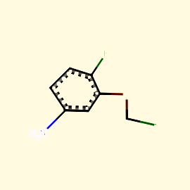 Nc1ccc(F)c(SCF)c1